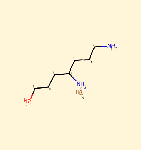 Br.NCCCC(N)CCCO